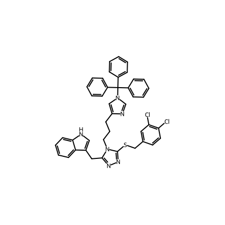 Clc1ccc(CSc2nnc(Cc3c[nH]c4ccccc34)n2CCCc2cn(C(c3ccccc3)(c3ccccc3)c3ccccc3)cn2)cc1Cl